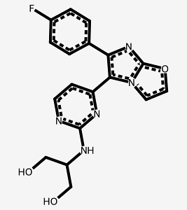 OCC(CO)Nc1nccc(-c2c(-c3ccc(F)cc3)nc3occn23)n1